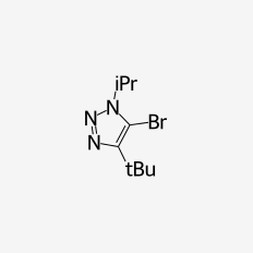 CC(C)n1nnc(C(C)(C)C)c1Br